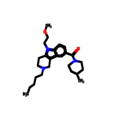 CCCCCN1CCc2c(c3cc(C(=O)N4CCC(C)CC4)ccc3n2CCOC)C1